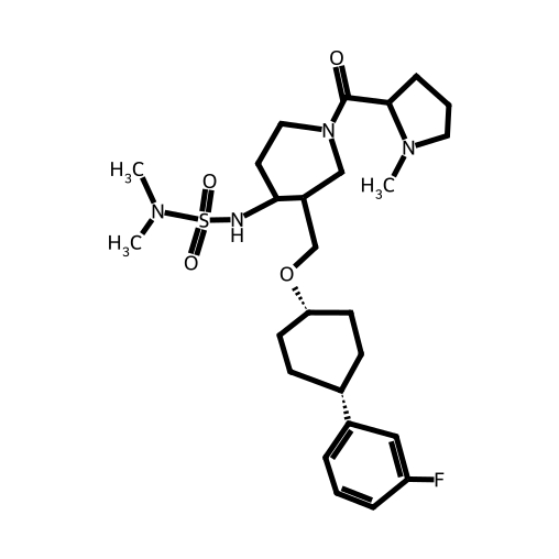 CN1CCCC1C(=O)N1CCC(NS(=O)(=O)N(C)C)C(CO[C@H]2CC[C@@H](c3cccc(F)c3)CC2)C1